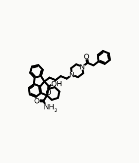 NC(=O)C1(c2cccc3c2C(CCCCN2CCN(C(=O)Cc4ccccc4)CC2)(C(=O)O)c2ccccc2-3)CCCCC1